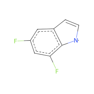 Fc1cc(F)c2c(c1)C=C[N]2